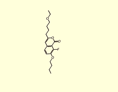 CCCCOc1ccc2cc(CCCCOCC)oc(=O)c2c1F